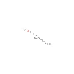 CCCCCCCCCCCCCOCC.[NaH]